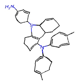 CC1=CC=C(N(C2=CCCC3=C2C2CCC=CC2N3C2C=CC(N)=CC2)c2ccc(C)cc2)CC1